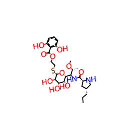 CCC[C@H]1CN[C@H](C(=O)N[C@@H]([C@H]2O[C@H](SCCOC(=O)c3c(O)cccc3O)[C@H](O)[C@@H](O)[C@H]2O)[C@@H](C)OC)C1